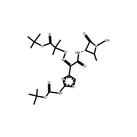 CC1[C@H](NC(=O)/C(=N\OC(C)(C)C(=O)OC(C)(C)C)c2csc(NC(=O)OC(C)(C)C)n2)C(=O)N1S